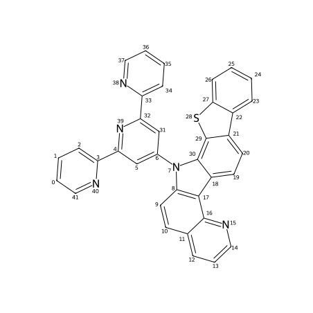 c1ccc(-c2cc(-n3c4ccc5cccnc5c4c4ccc5c6ccccc6sc5c43)cc(-c3ccccn3)n2)nc1